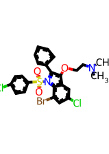 CN(C)CCOc1c(-c2ccccc2)n(S(=O)(=O)c2ccc(Cl)cc2)c2c(Br)cc(Cl)cc12